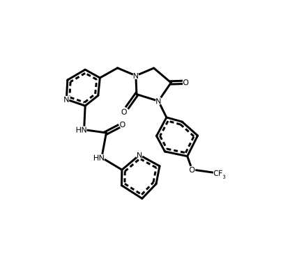 O=C(Nc1ccccn1)Nc1cc(CN2CC(=O)N(c3ccc(OC(F)(F)F)cc3)C2=O)ccn1